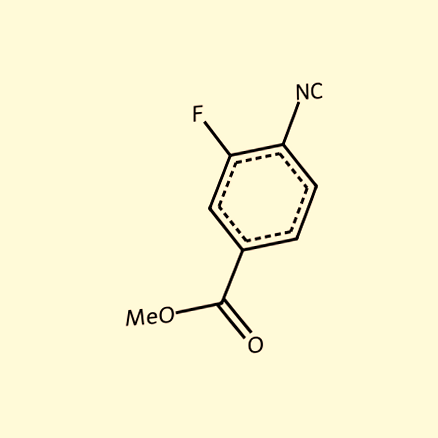 [C-]#[N+]c1ccc(C(=O)OC)cc1F